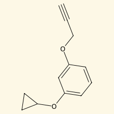 C#CCOc1cccc(OC2CC2)c1